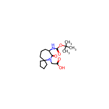 CC(C)(C)OC(=O)NC1CCCC2(CCCC2)N(CC(=O)O)C1=O